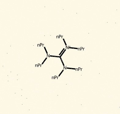 CCCN(CCC)C(N(CCC)CCC)=[N+](CCC)CCC